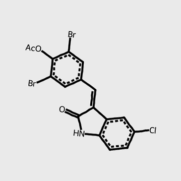 CC(=O)Oc1c(Br)cc(/C=C2\C(=O)Nc3ccc(Cl)cc32)cc1Br